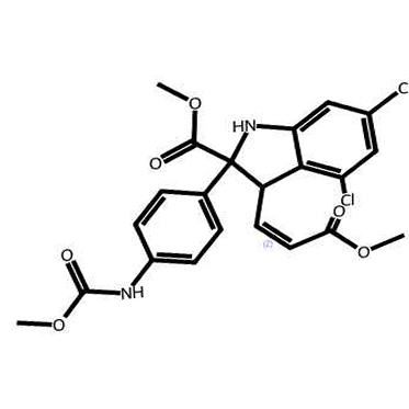 COC(=O)/C=C\C1c2c(Cl)cc(Cl)cc2NC1(C(=O)OC)c1ccc(NC(=O)OC)cc1